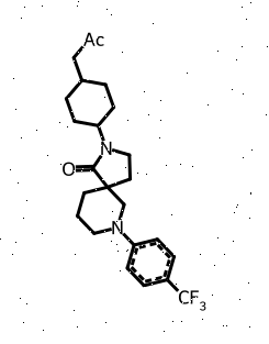 CC(=O)CC1CCC(N2CCC3(CCCN(c4ccc(C(F)(F)F)cc4)C3)C2=O)CC1